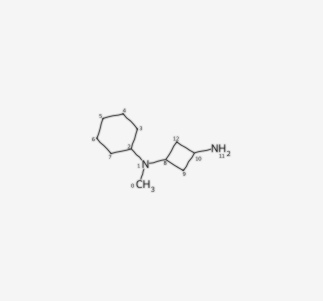 CN(C1CCCCC1)C1CC(N)C1